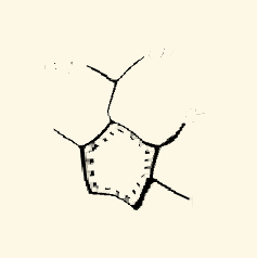 Cc1c(F)ccc(F)c1C(C)C